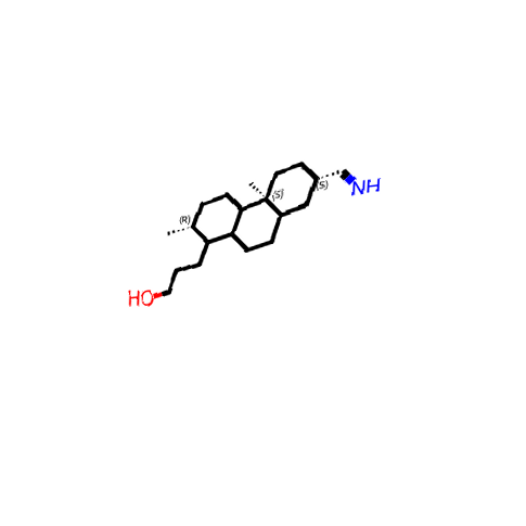 C[C@@H]1CCC2C(CCC3C[C@@H](C=N)CC[C@@]32C)C1CCCO